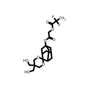 CC(F)(F)C(=O)OCC(=O)OC12CC3CC(C1)C1(OCC(CO)(CO)CO1)C(C3)C2